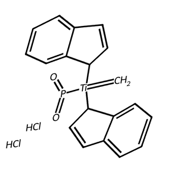 Cl.Cl.[CH2]=[Ti]([CH]1C=Cc2ccccc21)([CH]1C=Cc2ccccc21)[P](=O)=O